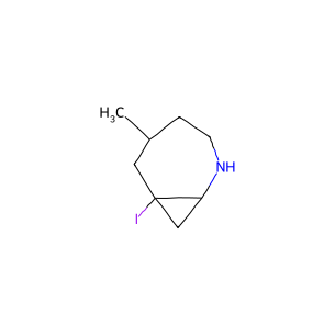 CC1CCNC2CC2(I)C1